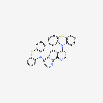 c1ccc2c(c1)Sc1ccccc1N2c1ccnc2c1ccc1c(N3c4ccccc4Sc4ccccc43)ccnc12